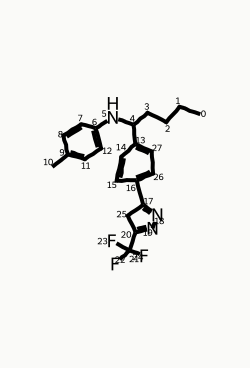 CCCCC(Nc1ccc(C)cc1)c1ccc(C2=NN=C(C(F)(F)F)C2)cc1